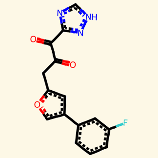 O=C(Cc1cc(-c2cccc(F)c2)co1)C(=O)c1nc[nH]n1